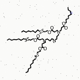 CC/C=C\CCCCOC(=O)CCN(CCCN(C)CCCN(CCC(=O)OCCSSCCCCCCCC)CCC(=O)OCCSSCCCCCCCC)CCC(=O)OCCSSCCCCCCCC